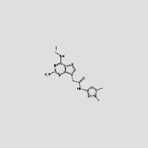 CCNc1nc(N)nc2c1ncn2CC(=O)Nc1cc(C)n(C)n1